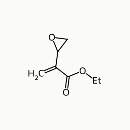 C=C(C(=O)OCC)C1CO1